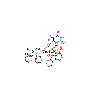 CC(C)(C)[Si](OC[C@H]1O[C@@H](n2cnc3c(=O)[nH]c(N)nc32)C(OCCO)C1O[Si](c1ccccc1)(c1ccccc1)C(C)(C)C)(c1ccccc1)c1ccccc1